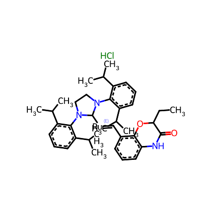 CCC1Oc2c(/[CH]=[Ru]/[CH]3N(c4c(C(C)C)cccc4C(C)C)CCN3c3c(C(C)C)cccc3C(C)C)cccc2NC1=O.Cl